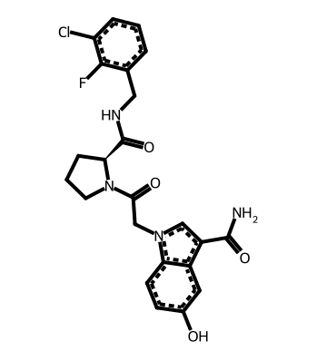 NC(=O)c1cn(CC(=O)N2CCC[C@H]2C(=O)NCc2cccc(Cl)c2F)c2ccc(O)cc12